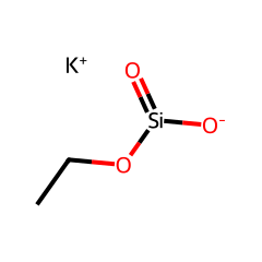 CCO[Si](=O)[O-].[K+]